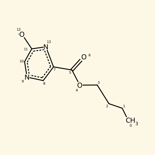 CCCCOC(=O)c1cncc([O])n1